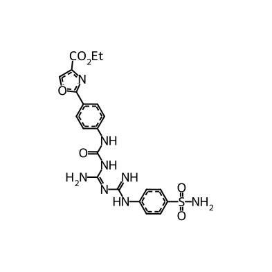 CCOC(=O)c1coc(-c2ccc(NC(=O)N/C(N)=N\C(=N)Nc3ccc(S(N)(=O)=O)cc3)cc2)n1